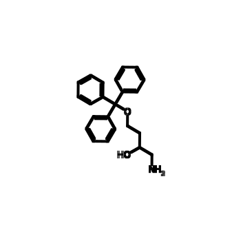 NCC(O)CCOC(c1ccccc1)(c1ccccc1)c1ccccc1